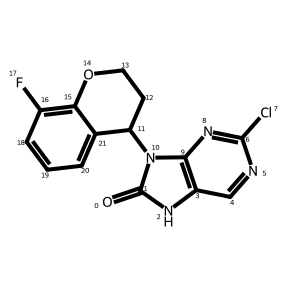 O=c1[nH]c2cnc(Cl)nc2n1C1CCOc2c(F)cccc21